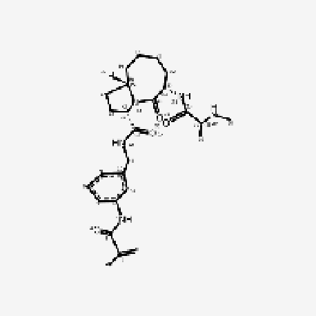 C=C(C)C(=O)Nc1cccc(CNC(=O)[C@@H]2CC[C@@H]3CCCC[C@H](NC(=O)[C@H](C)NC)C(=O)N32)c1